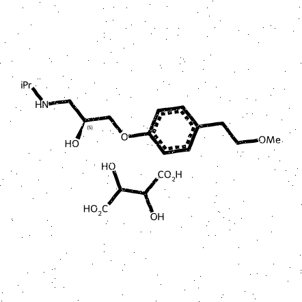 COCCc1ccc(OC[C@@H](O)CNC(C)C)cc1.O=C(O)C(O)C(O)C(=O)O